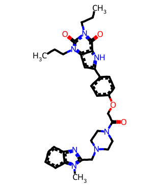 CCCn1c(=O)c2[nH]c(-c3ccc(OCC(=O)N4CCN(Cc5nc6ccccc6n5C)CC4)cc3)cc2n(CCC)c1=O